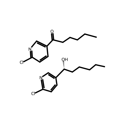 CCCCCC(=O)c1ccc(Cl)nc1.CCCCC[C@@H](O)c1ccc(Cl)nc1